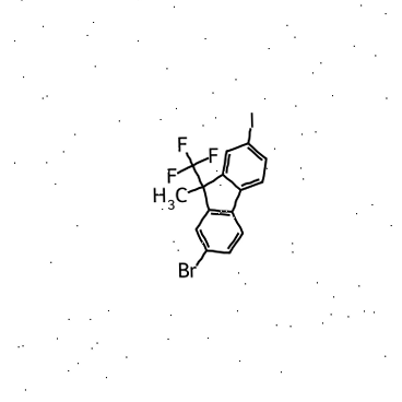 CC1(C(F)(F)F)c2cc(Br)ccc2-c2ccc(I)cc21